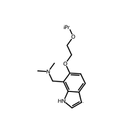 CC(C)OCCOc1ccc2[c]c[nH]c2c1CN(C)C